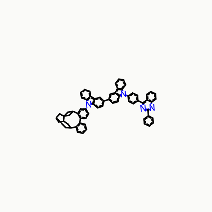 c1ccc(-c2nc(-c3ccc(-n4c5ccccc5c5cc(-c6ccc7c(c6)c6ccccc6n7-c6ccc7c(c6)C6CC8(CC9CC(CC8C9)c8ccccc8-7)C6)ccc54)cc3)c3ccccc3n2)cc1